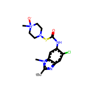 Cn1c(C(C)(C)C)nc2cc(Cl)c(NC(=O)SN3CC[N+](C)([O-])CC3)cc21